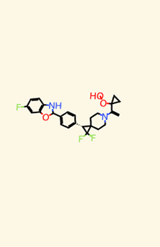 C=C(N1CCC2(CC1)[C@@H](c1ccc(C3Nc4ccc(F)cc4O3)cc1)C2(F)F)C1(OO)CC1